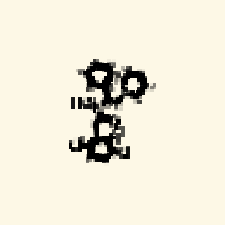 O=C(Cc1c(Cl)ccc(Cl)c1Cl)N(O)[C@H](CN1CC=CCC1)c1ccccc1